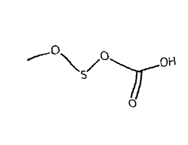 COSOC(=O)O